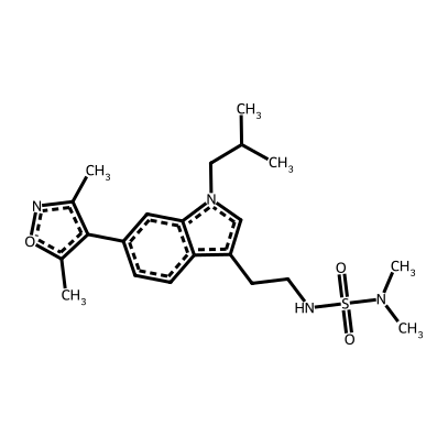 Cc1noc(C)c1-c1ccc2c(CCNS(=O)(=O)N(C)C)cn(CC(C)C)c2c1